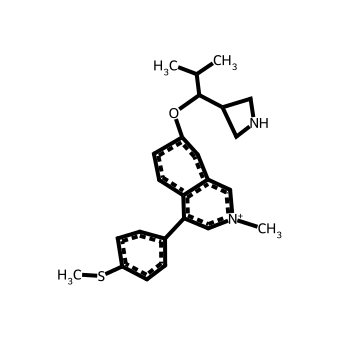 CSc1ccc(-c2c[n+](C)cc3cc(OC(C(C)C)C4CNC4)ccc23)cc1